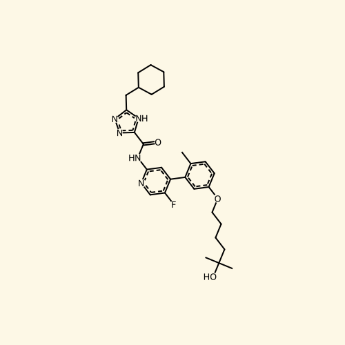 Cc1ccc(OCCCCC(C)(C)O)cc1-c1cc(NC(=O)c2nnc(CC3CCCCC3)[nH]2)ncc1F